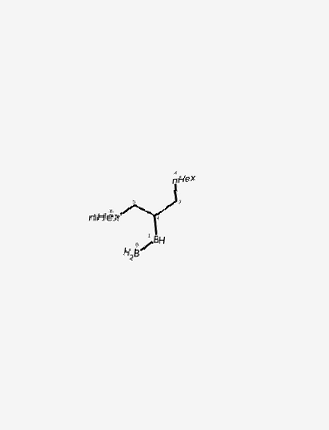 BBC(CCCCCCC)CCCCCCC